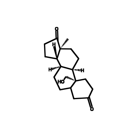 C[C@]12CC[C@@H]3[C@@H](CCC4CC(=O)CC[C@@]43CO)[C@@H]1CCC2=O